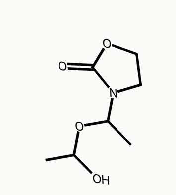 CC(O)OC(C)N1CCOC1=O